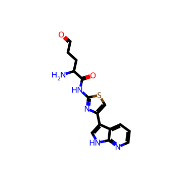 NC(CCC=O)C(=O)Nc1nc(-c2c[nH]c3ncccc23)cs1